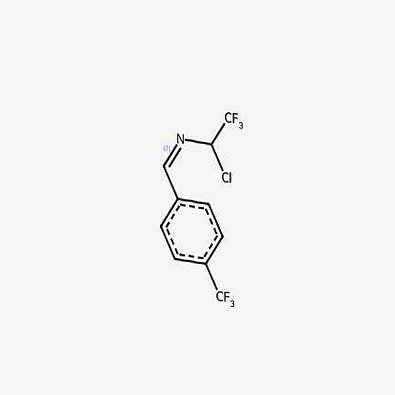 FC(F)(F)c1ccc(/C=N\C(Cl)C(F)(F)F)cc1